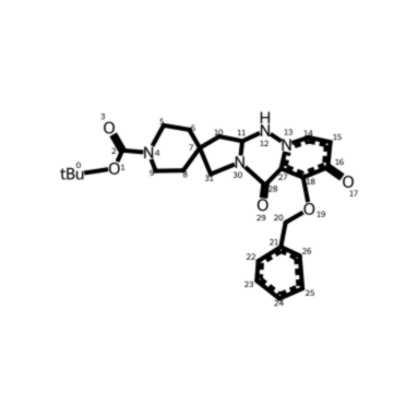 CC(C)(C)OC(=O)N1CCC2(CC1)CC1Nn3ccc(=O)c(OCc4ccccc4)c3C(=O)N1C2